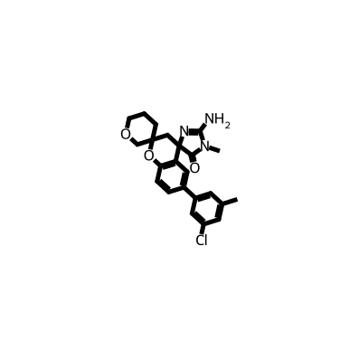 Cc1cc(Cl)cc(-c2ccc3c(c2)C2(CC4(CCCOC4)O3)N=C(N)N(C)C2=O)c1